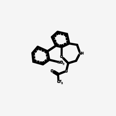 O=C(OC1CNCc2cccc(-c3ccccc3[N+](=O)[O-])c2O1)C(F)(F)F